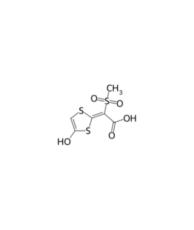 CS(=O)(=O)C(C(=O)O)=C1SC=C(O)S1